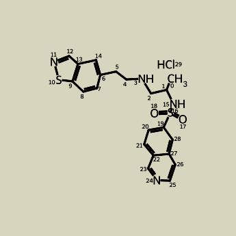 CC(CNCCc1ccc2sncc2c1)NS(=O)(=O)c1ccc2cnccc2c1.Cl